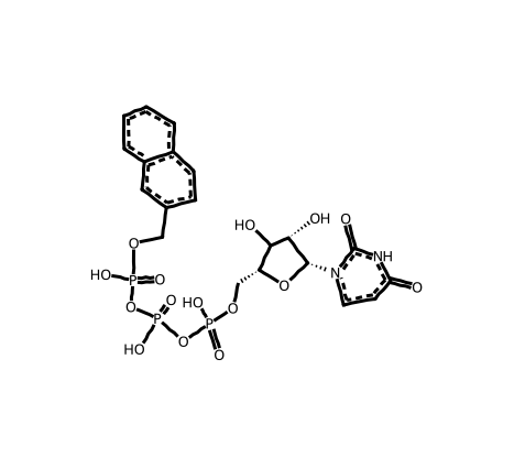 O=c1ccn([C@@H]2O[C@H](COP(=O)(O)OP(=O)(O)OP(=O)(O)OCc3ccc4ccccc4c3)C(O)[C@@H]2O)c(=O)[nH]1